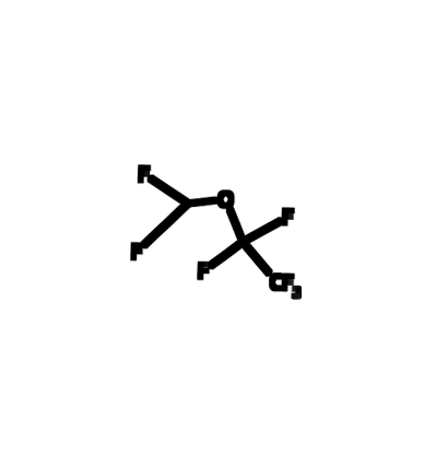 FC(F)OC(F)(F)C(F)(F)F